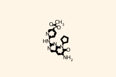 CS(=O)(=O)c1ccc(Nc2ncc3cc(N)c(=O)n(C4CCCC4)c3n2)nc1